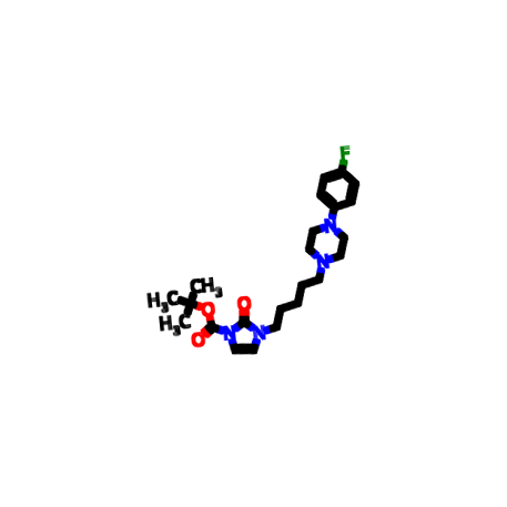 CC(C)(C)OC(=O)n1ccn(CCCCCN2CCN(c3ccc(F)cc3)CC2)c1=O